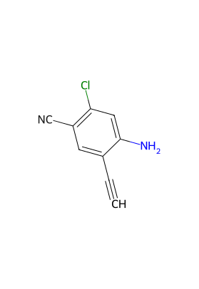 C#Cc1cc(C#N)c(Cl)cc1N